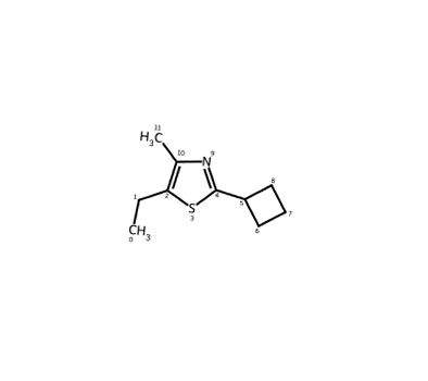 CCc1sc(C2CCC2)nc1C